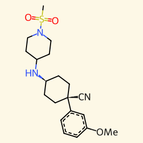 COc1cccc([C@]2(C#N)CC[C@@H](NC3CCN(S(C)(=O)=O)CC3)CC2)c1